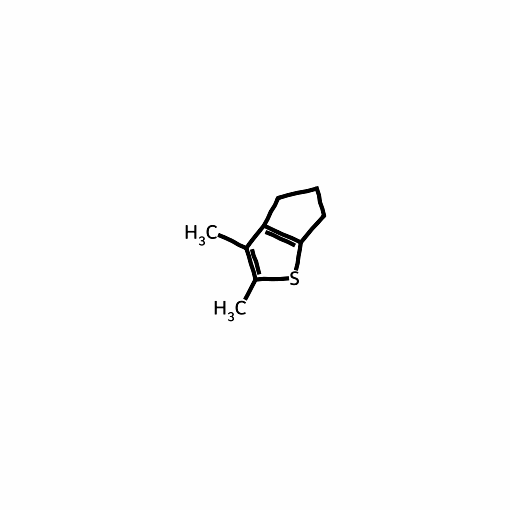 Cc1sc2c(c1C)CCC2